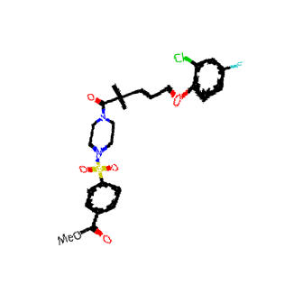 COC(=O)c1ccc(S(=O)(=O)N2CCN(C(=O)C(C)(C)CCCOc3ccc(F)cc3Cl)CC2)cc1